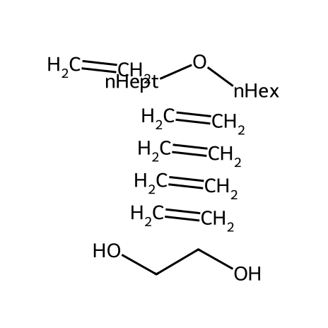 C=C.C=C.C=C.C=C.C=C.CCCCCCCOCCCCCC.OCCO